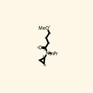 CCCN(C(=O)CCCOC)C1CC1